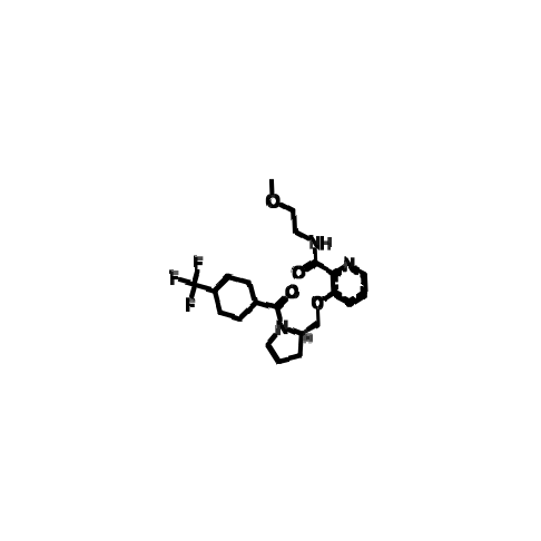 COCCNC(=O)c1ncccc1OC[C@H]1CCCN1C(=O)C1CCC(C(F)(F)F)CC1